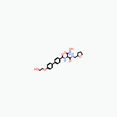 O=C(NC(C(=O)NO)C(=O)NCC1CCCO1)c1ccc(-c2ccc(OCCO)cc2)cc1